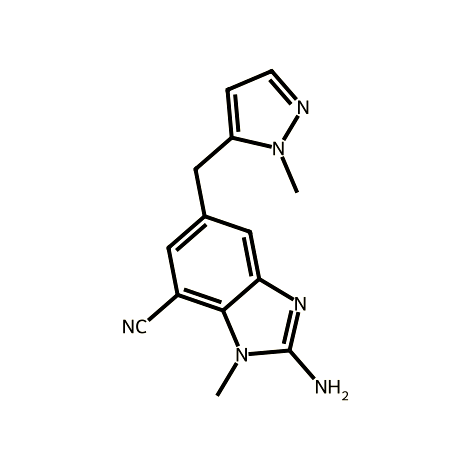 Cn1nccc1Cc1cc(C#N)c2c(c1)nc(N)n2C